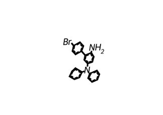 Nc1ccc(N(c2ccccc2)c2ccccc2)cc1-c1ccc(Br)cc1